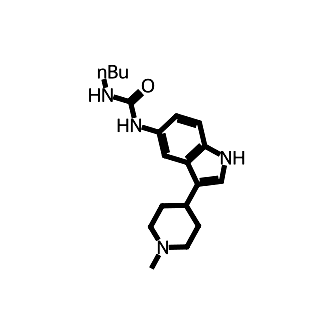 CCCCNC(=O)Nc1ccc2[nH]cc(C3CCN(C)CC3)c2c1